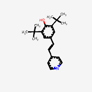 CC(C)(C)c1cc(C=Cc2ccncc2)cc(C(C)(C)C)c1O